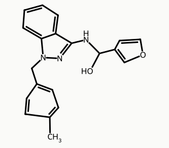 Cc1ccc(Cn2nc(NC(O)c3ccoc3)c3ccccc32)cc1